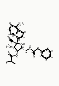 CC(C)C(=O)O[C@H]1[C@@H](O)[C@](C#N)(c2ccc3c(N)ncnn23)O[C@@H]1COC(=O)Cc1ccccc1